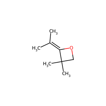 CC(C)=C1OCC1(C)C